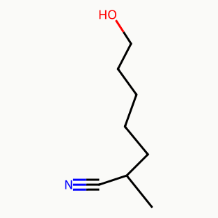 CC(C#N)CCCCCO